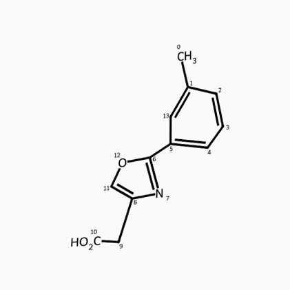 Cc1cccc(-c2nc(CC(=O)O)co2)c1